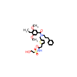 CCc1c(OC)cc(C(=O)N(CCCc2ccccc2)Cc2ccc(CC(=O)NS(=O)(=O)CCO)s2)cc1OC